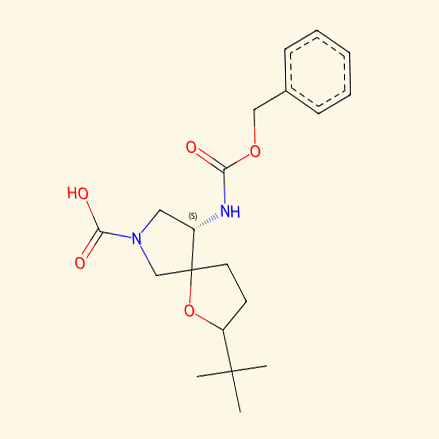 CC(C)(C)C1CCC2(CN(C(=O)O)C[C@@H]2NC(=O)OCc2ccccc2)O1